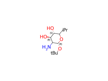 CC(C)C1O[C@H](OC(C)(C)C)C(N)[C@@H](O)[C@@H]1O